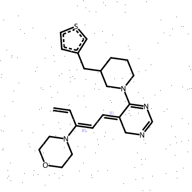 C=C/C(=C\C=C1/CN=CN=C1N1CCCC(Cc2ccsc2)C1)N1CCOCC1